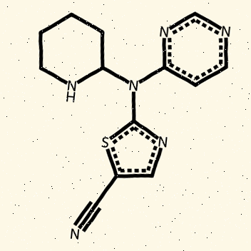 N#Cc1cnc(N(c2ccncn2)C2CCCCN2)s1